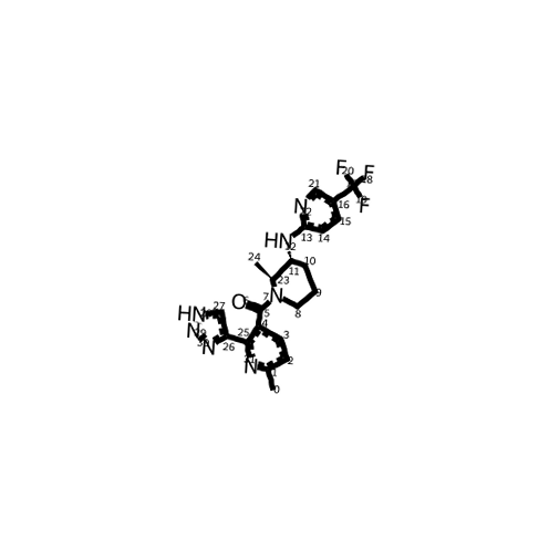 Cc1ccc(C(=O)N2CCC[C@@H](Nc3ccc(C(F)(F)F)cn3)[C@@H]2C)c(-c2c[nH]nn2)n1